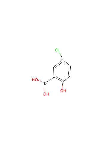 OB(O)c1cc(Cl)ccc1O